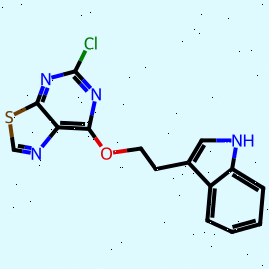 Clc1nc(OCCc2c[nH]c3ccccc23)c2ncsc2n1